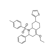 CCOC1=C2CCC(c3cccs3)CC2N(S(=O)(=O)c2ccc(C)cc2)C(c2ccccc2)C1